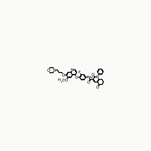 COc1cc2c(Oc3ccc(NC(=O)c4cc5c(n(-c6ccccc6)c4=O)CCCC5=O)cc3F)ccnc2cc1OCCCN1CCOCC1